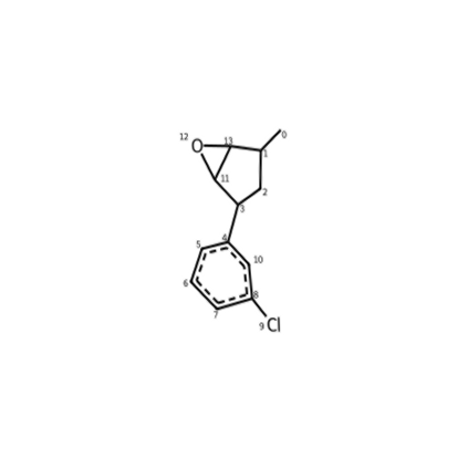 CC1CC(c2cccc(Cl)c2)C2OC12